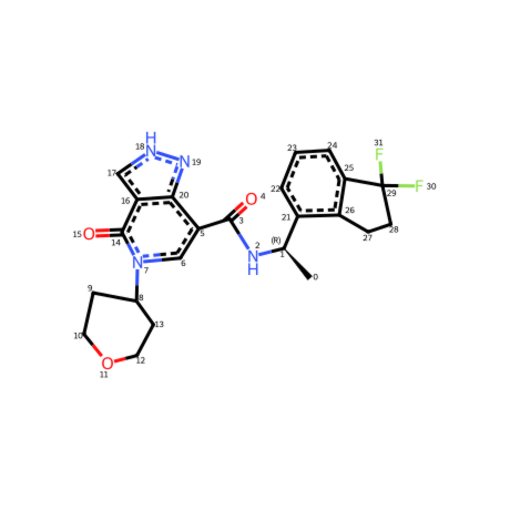 C[C@@H](NC(=O)c1cn(C2CCOCC2)c(=O)c2c[nH]nc12)c1cccc2c1CCC2(F)F